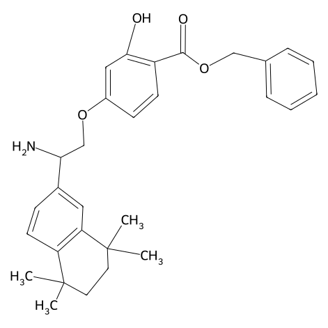 CC1(C)CCC(C)(C)c2cc(C(N)COc3ccc(C(=O)OCc4ccccc4)c(O)c3)ccc21